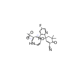 CC1(C)CC(O)(c2ncc(F)cc2/C2=C/C(S(C)(=O)=O)=C\NC#CC2)C=C(C#N)C1=O